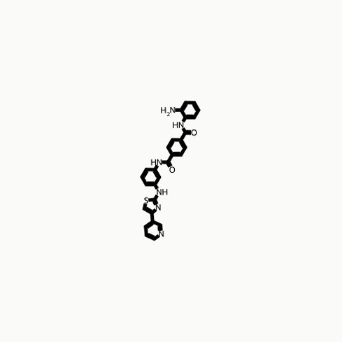 Nc1ccccc1NC(=O)c1ccc(C(=O)Nc2cccc(Nc3nc(-c4cccnc4)cs3)c2)cc1